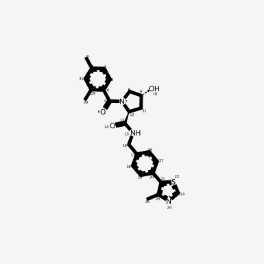 Cc1ccc(C(=O)N2C[C@H](O)C[C@H]2C(=O)NCc2ccc(-c3scnc3C)cc2)c(C)c1